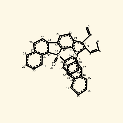 C=Cc1c(/C=C\C)n(-c2ccc3ccccc3c2)c2c3c(ccc12)-c1ccc2ccccc2c1P3(=O)c1ccccc1